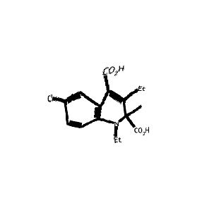 CCC1=C(C(=O)O)c2cc(Cl)ccc2N(CC)C1(C)C(=O)O